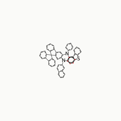 c1ccc(N(c2ccc3ccccc3c2)c2cc3c(cc2N(c2ccccc2)c2cccc4sc5ccccc5c24)-c2ccccc2C32c3ccccc3-c3ccccc32)cc1